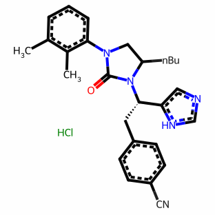 CCCCC1CN(c2cccc(C)c2C)C(=O)N1[C@@H](Cc1ccc(C#N)cc1)c1cnc[nH]1.Cl